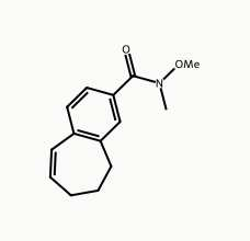 CON(C)C(=O)c1ccc2c(c1)CCCC=C2